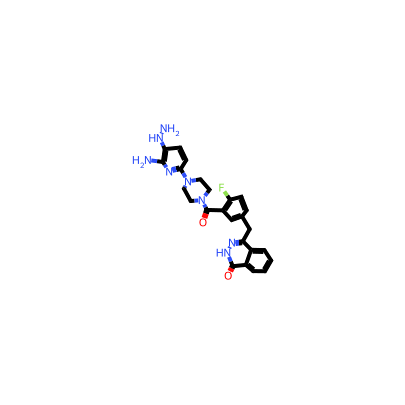 NNc1ccc(N2CCN(C(=O)c3cc(Cc4n[nH]c(=O)c5ccccc45)ccc3F)CC2)nc1N